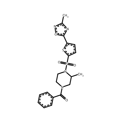 Cc1noc(-c2ccc(S(=O)(=O)N3CCN(C(=O)c4ccccc4)CC3C)s2)n1